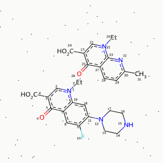 CCn1cc(C(=O)O)c(=O)c2cc(F)c(N3CCNCC3)cc21.CCn1cc(C(=O)O)c(=O)c2ccc(C)nc21